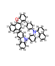 c1cc(N(c2ccc(-c3cccc4oc5c6ccccc6ccc5c34)cc2)c2cccc3ccccc23)cc(-n2c3ccccc3c3ccccc32)c1